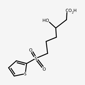 O=C(O)CC(O)CCCS(=O)(=O)c1cccs1